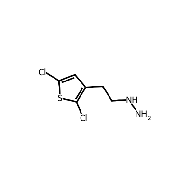 NNCCc1cc(Cl)sc1Cl